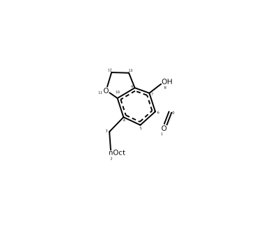 C=O.CCCCCCCCCc1ccc(O)c2c1OCC2